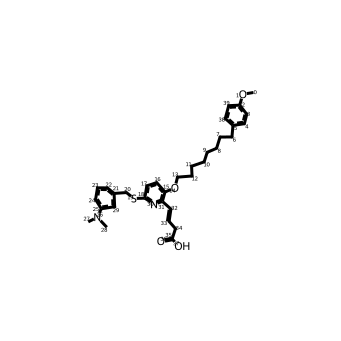 COc1ccc(CCCCCCCCOc2ccc(SCc3cccc(N(C)C)c3)nc2C=CCC(=O)O)cc1